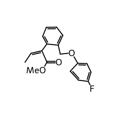 CC=C(C(=O)OC)c1ccccc1COc1ccc(F)cc1